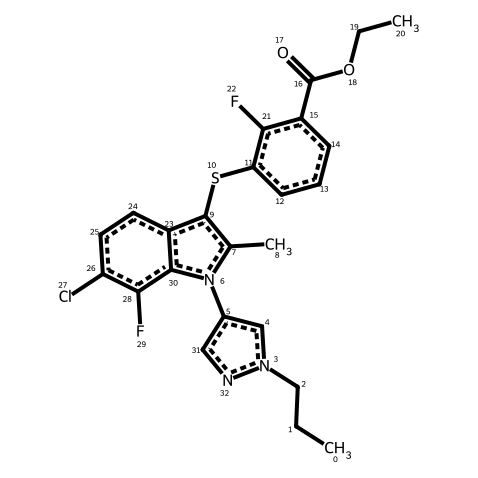 CCCn1cc(-n2c(C)c(Sc3cccc(C(=O)OCC)c3F)c3ccc(Cl)c(F)c32)cn1